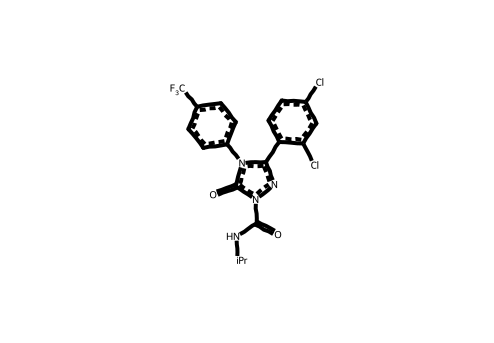 CC(C)NC(=O)n1nc(-c2ccc(Cl)cc2Cl)n(-c2ccc(C(F)(F)F)cc2)c1=O